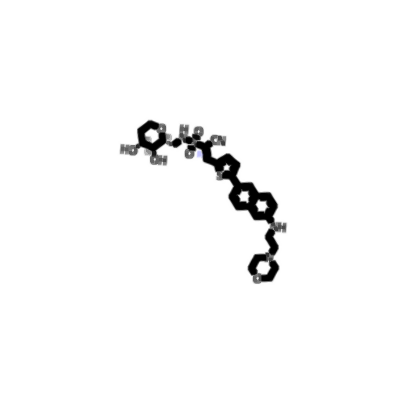 N#C/C(=C\c1ccc(-c2ccc3cc(NCCN4CCOCC4)ccc3c2)s1)S(=O)(=O)NC[C@H]1OCC[C@@H](O)[C@@H]1O